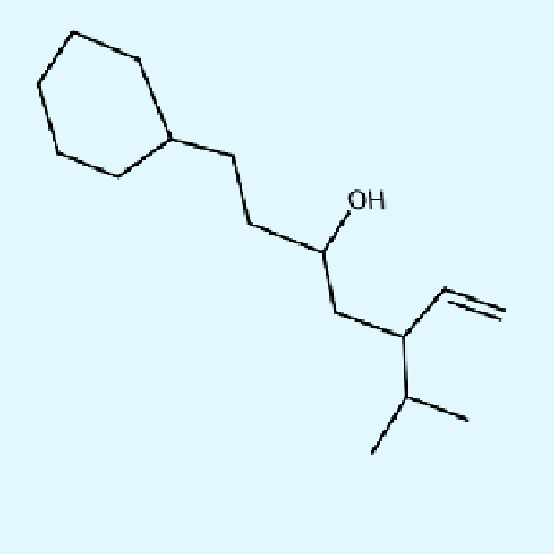 C=CC(CC(O)CCC1CCCCC1)C(C)C